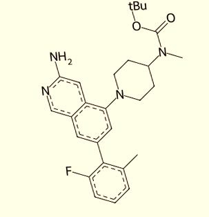 Cc1cccc(F)c1-c1cc(N2CCC(N(C)C(=O)OC(C)(C)C)CC2)c2cc(N)ncc2c1